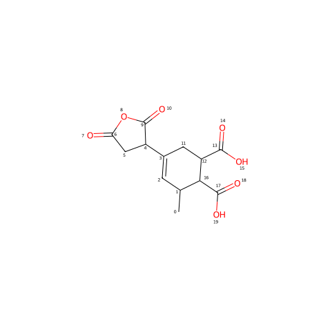 CC1C=C(C2CC(=O)OC2=O)CC(C(=O)O)C1C(=O)O